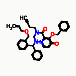 C#CCCN1CN(C(c2ccccc2)c2ccccc2COCC=C)n2ccc(=O)c(OCc3ccccc3)c2C1=O